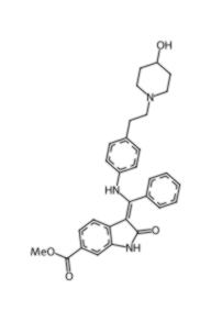 COC(=O)c1ccc2c(c1)NC(=O)C2=C(Nc1ccc(CCN2CCC(O)CC2)cc1)c1ccccc1